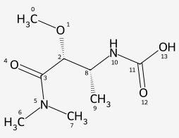 CO[C@@H](C(=O)N(C)C)[C@@H](C)NC(=O)O